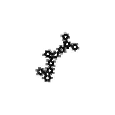 c1ccc(-c2cc(-c3ccccc3)nc(-c3ccc(-c4ccc5c(c4)c4ccccc4n5-c4ccc(-c5ccc6c7ccccc7n(-c7ccccc7)c6c5)cc4)cc3)n2)cc1